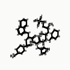 CCCS(=O)(=O)NC[C@@H](C)C[C@H](O)[C@H](CC1CCCCC1)NC(=O)[C@H](Cc1c[nH]cn1)NC(=O)C(CC(=O)N1CCC(N)CC1)Cc1cccc2ccccc12